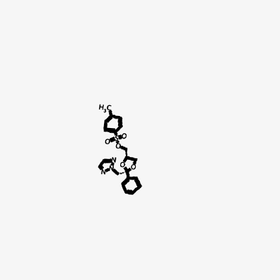 Cc1ccc(S(=O)(=O)OC[C@H]2CO[C@@](Cn3nccn3)(c3ccccc3)O2)cc1